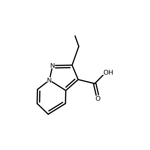 CCc1nn2ccccc2c1C(=O)O